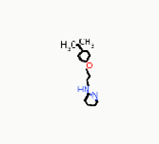 CC(C)C1CCC(OCCCCNC2=CCCC=N2)CC1